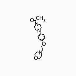 CC(=O)N1CCN(c2ccc(OCCN3CCOCC3)cc2)CC1